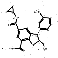 CNC(=O)c1cc(C(=O)NC2CC2)cc2c1O[C@H](CO)[C@H]2c1cccc(OC)c1